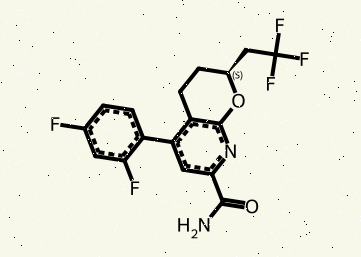 NC(=O)c1cc(-c2ccc(F)cc2F)c2c(n1)O[C@H](CC(F)(F)F)CC2